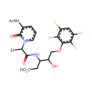 CCC(C(=O)NC(CC(=O)O)C(O)COc1c(F)c(F)cc(F)c1F)n1cccc(NC(C)=O)c1=O